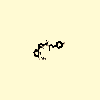 CNc1cccc(-c2ccc(C(=O)NCCc3ccc(F)cc3)s2)n1